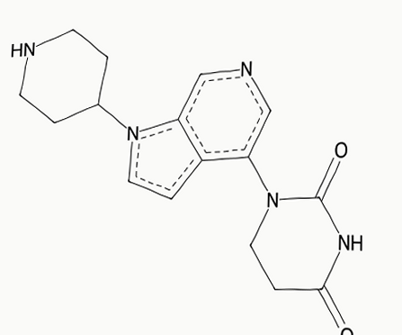 O=C1CCN(c2cncc3c2ccn3C2CCNCC2)C(=O)N1